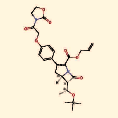 C=CCOC(=O)C1=C(c2ccc(OCC(=O)N3CCOC3=O)cc2)C[C@@H]2[C@@H]([C@@H](C)O[Si](C)(C)C)C(=O)N12